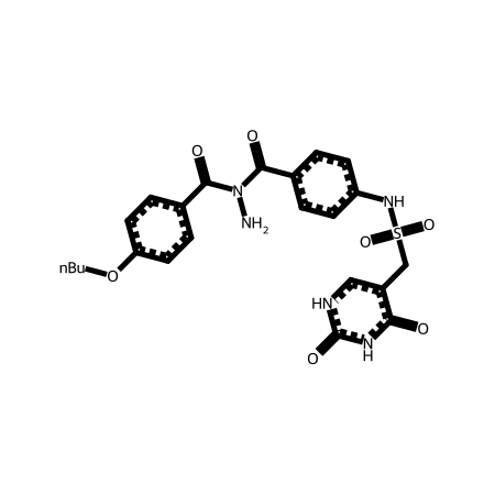 CCCCOc1ccc(C(=O)N(N)C(=O)c2ccc(NS(=O)(=O)Cc3c[nH]c(=O)[nH]c3=O)cc2)cc1